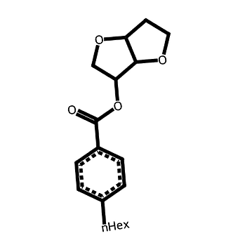 CCCCCCc1ccc(C(=O)OC2COC3CCOC32)cc1